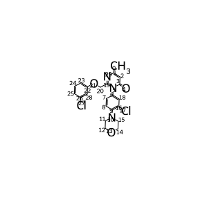 Cc1cc(=O)n(-c2ccc(N3CCOCC3)c(Cl)c2)c(COc2cccc(Cl)c2)n1